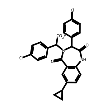 O=C(O)C(c1ccc(Cl)cc1)N1C(=O)c2cc(C3CC3)ccc2NC(=O)C1c1ccc(Cl)cc1